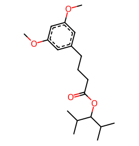 COc1cc(CCCC(=O)OC(C(C)C)C(C)C)cc(OC)c1